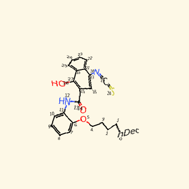 CCCCCCCCCCCCCCOc1ccccc1NC(=O)c1cc(N=C=S)c2ccccc2c1O